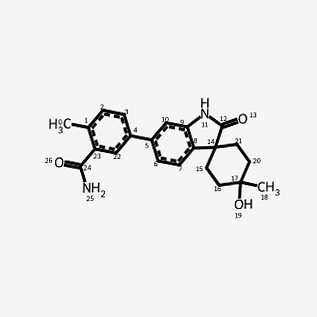 Cc1ccc(-c2ccc3c(c2)NC(=O)C32CCC(C)(O)CC2)cc1C(N)=O